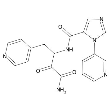 NC(=O)C(=O)C(Cc1ccncc1)NC(=O)c1cncn1-c1cccnc1